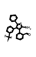 Nc1sc(-c2ccccc2)c(-c2cccc(C(F)(F)F)c2)c1-c1ccccc1C=O